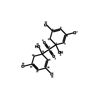 O=S(=O)(C1(O)C=C(Cl)C=C(Cl)C1)C1(O)C=C(Cl)C=C(Cl)C1